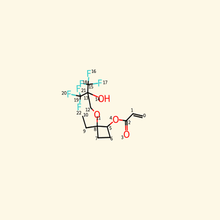 C=CC(=O)OC1CCC1(CC)OCC(O)(C(F)(F)F)C(F)(F)F